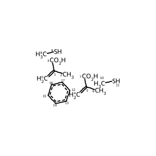 C=C(C)C(=O)O.C=C(C)C(=O)O.CS.CS.c1ccccc1